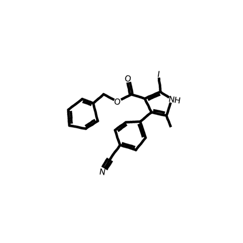 Cc1[nH]c(I)c(C(=O)OCc2ccccc2)c1-c1ccc(C#N)cc1